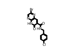 O=C(NCc1ccc(Cl)cc1)c1cc2nc(Br)cnc2[nH]c1=O